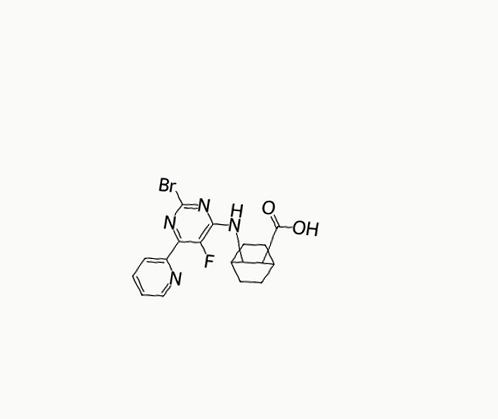 O=C(O)C1C2CCC(CC2)C1Nc1nc(Br)nc(-c2ccccn2)c1F